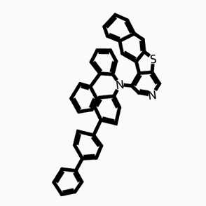 c1ccc(-c2ccc(-c3ccc(N(c4ccccc4-c4ccccc4)c4cncc5sc6cc7ccccc7cc6c45)cc3)cc2)cc1